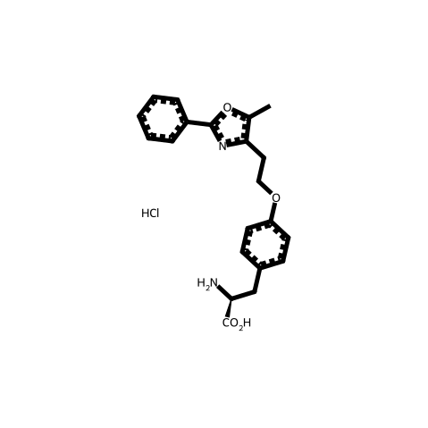 Cc1oc(-c2ccccc2)nc1CCOc1ccc(C[C@H](N)C(=O)O)cc1.Cl